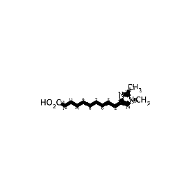 Cc1nc(CCCCCCCCCC(=O)O)cn1C